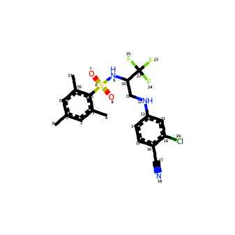 Cc1cc(C)c(S(=O)(=O)NC(CNc2ccc(C#N)c(Cl)c2)C(F)(F)F)c(C)c1